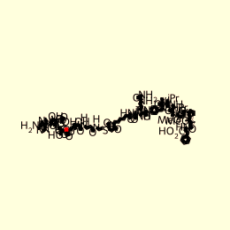 CC[C@H](C)[C@@H]([C@@H](CC(=O)N1CCC[C@H]1[C@H](OC)[C@@H](C)C(=O)N[C@@H](Cc1ccccc1)C(=O)O)OC)N(C)C(=O)[C@@H](NC(=O)[C@H](C(C)C)N(C)C(=O)OCc1ccc(NC(=O)[C@H](CCCNC(N)=O)NC(=O)[C@@H](NC(=O)CCCCCN2C(=O)CC(SCCNC(=O)CCNC(=O)[C@H](O)C(C)(C)COP(=O)(O)OP(=O)(O)OC[C@@H]3O[C@H](n4cnc5c(N)ncnc54)[C@@H](O)[C@H]3OP(=O)(O)O)C2=O)C(C)C)cc1)C(C)C